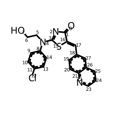 O=C1N=C(N(CCO)c2ccc(Cl)cc2)S/C1=C\c1ccc2ncccc2c1